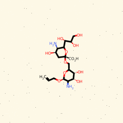 C=CCO[C@H]1OC(CO[C@]2(C(=O)O)C[C@@H](O)[C@@H](N)C([C@H](O)[C@H](O)CO)O2)[C@H](O)[C@H](O)C1N